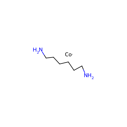 NCCCCCCN.[Co]